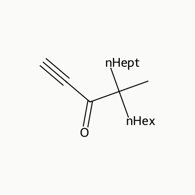 C#CC(=O)C(C)(CCCCCC)CCCCCCC